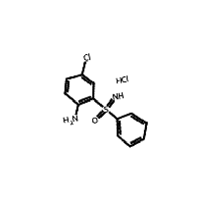 Cl.N=S(=O)(c1ccccc1)c1cc(Cl)ccc1N